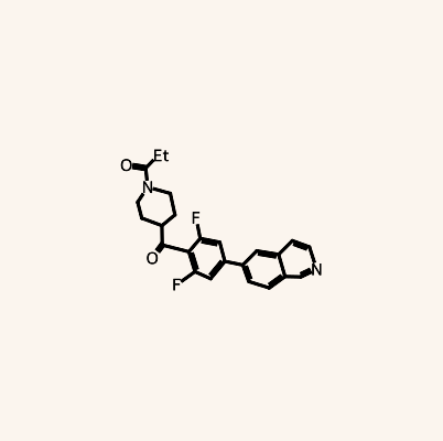 CCC(=O)N1CCC(C(=O)c2c(F)cc(-c3ccc4cnccc4c3)cc2F)CC1